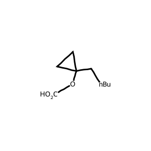 CCCCCC1(OC(=O)O)CC1